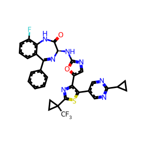 O=C1Nc2c(F)cccc2C(c2ccccc2)=N[C@@H]1Nc1ncc(-c2nc(C3(C(F)(F)F)CC3)sc2-c2cnc(C3CC3)nc2)o1